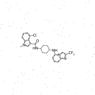 Cn1cc(C(=O)NC2CCC(Nc3cccc4nc(C(F)(F)F)cn34)CC2)c2c(Cl)cccc21